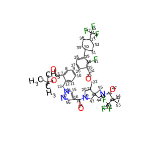 CC(C)(C)OC(=O)c1ccccc1Cn1cc(C(=O)N2CC(COCc3cccc(C4CCC(C(F)(F)F)CC4)c3F)C3(C2)CN(C(=O)C2(C(F)(F)F)CC2)C3)cn1